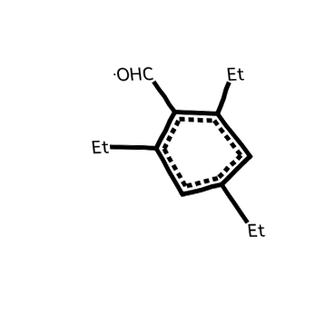 CCc1cc(CC)c([C]=O)c(CC)c1